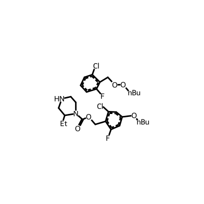 CCCCOOCc1c(F)cccc1Cl.CCCCOc1cc(F)c(COC(=O)N2CCNCC2CC)c(Cl)c1